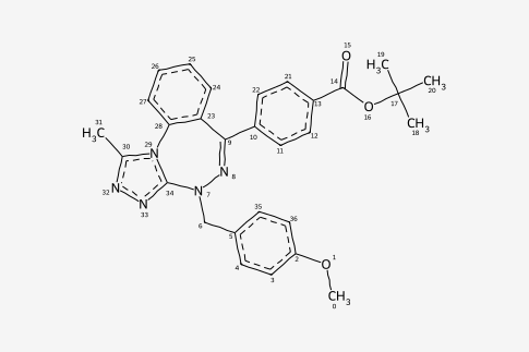 COc1ccc(CN2N=C(c3ccc(C(=O)OC(C)(C)C)cc3)c3ccccc3-n3c(C)nnc32)cc1